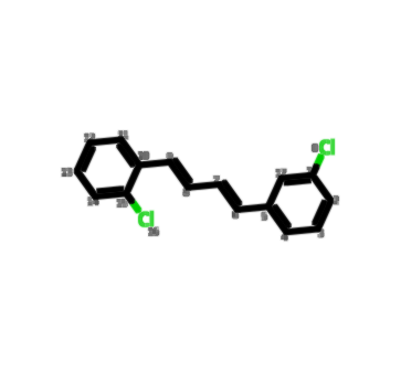 Clc1cccc(C=CC=Cc2ccccc2Cl)c1